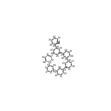 C1=CCC(c2cccc(-c3cccc(-c4cccc(-c5cccc(-c6cccc(-c7ccccn7)c6)c5)c4)c3)c2)C=C1